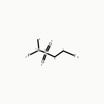 CN(F)S(=O)(=O)CCF